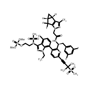 COP(=O)(OC)OCCN(c1nn(CC(F)(F)F)c2c(-c3ccc(C#CC(C)(C)S(C)(=O)=O)nc3[C@H](Cc3cc(F)cc(F)c3)NC(=O)Cn3nc(C(F)(F)F)c4c3C(F)(F)[C@@H]3C[C@H]43)ccc(Cl)c12)S(C)(=O)=O